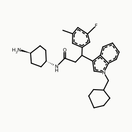 Cc1cc(F)cc(C(CC(=O)N[C@H]2CC[C@H](N)CC2)c2cn(CC3CCCCC3)c3ccccc23)c1